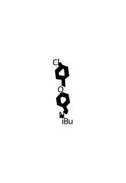 CCC(C)/N=C/c1ccc(OCc2ccc(Cl)cc2)cc1